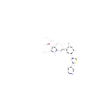 CCCNC(=O)c1c(C)[nH]c(/C=C(\C=O)c2cc(-c3csc(-c4cccnc4)n3)ccc2C)c1C